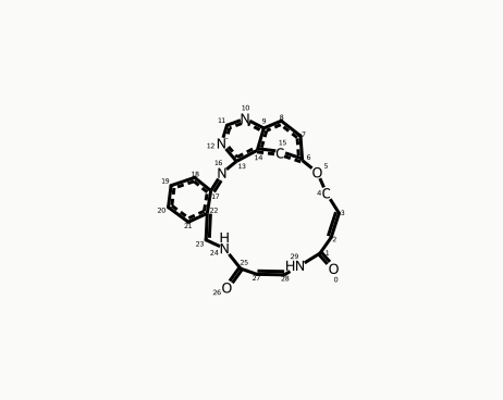 O=C1/C=C\COc2ccc3ncnc(c3c2)/N=c2/cccc/c2=C/NC(=O)/C=C\N1